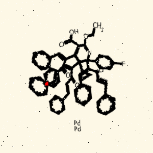 CCOC1=NC(C(=Cc2ccccc2)C(=O)C=Cc2ccccc2)(c2ccc(F)cc2)C(C(=Cc2ccccc2)C(=O)C=Cc2ccccc2)(C2CC2)C(C(=Cc2ccccc2)C(=O)C=Cc2ccccc2)=C1C(=O)O.[Pd].[Pd]